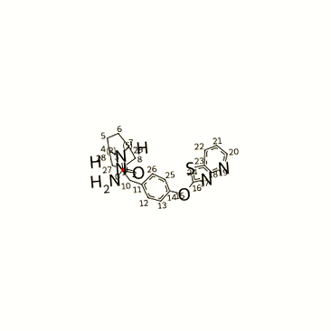 NC(=O)N1[C@@H]2CC[C@H]1CN(Cc1ccc(Oc3nc4ncccc4s3)cc1)C2